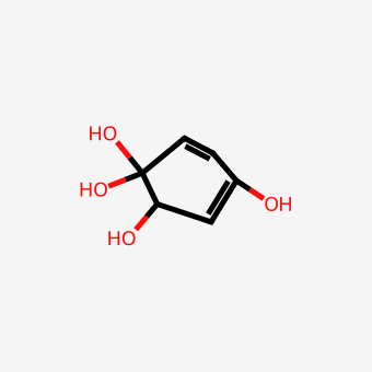 OC1=CC(O)C(O)(O)C=C1